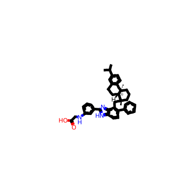 CC(C)c1ccc2c(c1)CC[C@H]1[C@@](C)(Cc3c(-c4ccccc4)ccc4[nH]c(-c5cccc(NCC(=O)O)c5)nc34)CCC[C@]21C